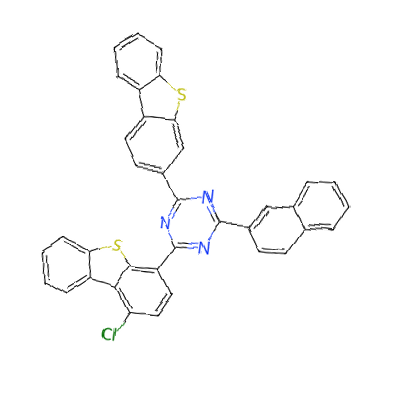 Clc1ccc(-c2nc(-c3ccc4ccccc4c3)nc(-c3ccc4c(c3)sc3ccccc34)n2)c2sc3ccccc3c12